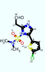 CN(C)S(=O)(=O)n1c(-c2ccc(Cl)s2)cnc1CC=O